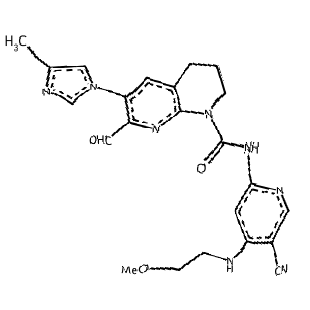 COCCNc1cc(NC(=O)N2CCCc3cc(-n4cnc(C)c4)c(C=O)nc32)ncc1C#N